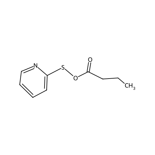 CCCC(=O)OSc1ccccn1